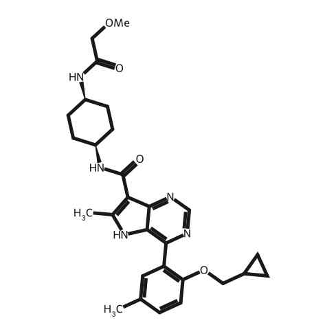 COCC(=O)N[C@H]1CC[C@@H](NC(=O)c2c(C)[nH]c3c(-c4cc(C)ccc4OCC4CC4)ncnc23)CC1